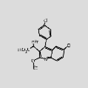 CCCC(C(=O)OCC)c1c(OCC)nc2ccc(Cl)cc2c1-c1ccc(Cl)cc1